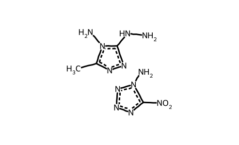 Cc1nnc(NN)n1N.Nn1nnnc1[N+](=O)[O-]